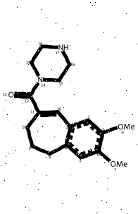 COc1cc2c(cc1OC)CCCC(C(=O)N1CCNCC1)=C2